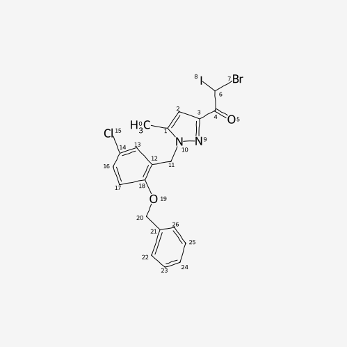 Cc1cc(C(=O)C(Br)I)nn1Cc1cc(Cl)ccc1OCc1ccccc1